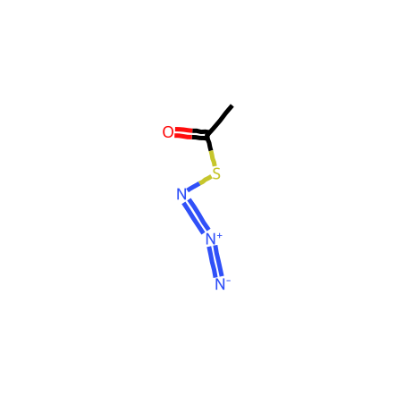 CC(=O)SN=[N+]=[N-]